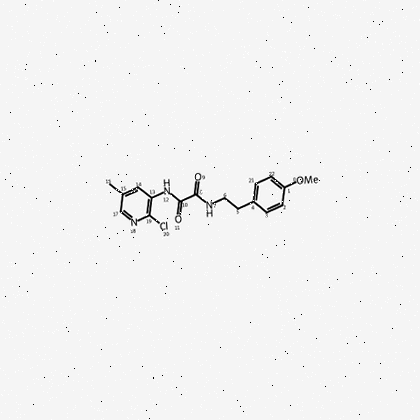 COc1ccc(CCNC(=O)C(=O)Nc2cc(C)cnc2Cl)cc1